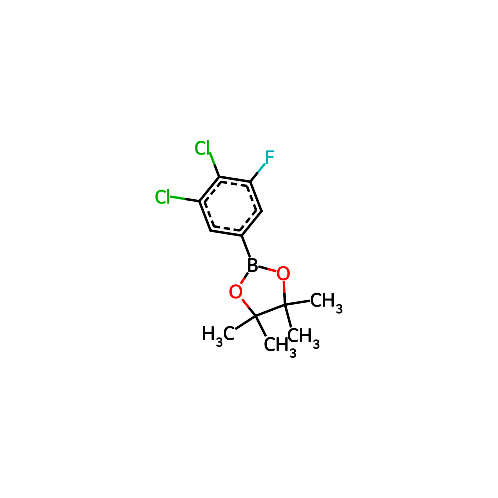 CC1(C)OB(c2cc(F)c(Cl)c(Cl)c2)OC1(C)C